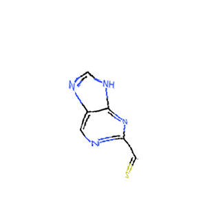 S=[C]c1ncc2nc[nH]c2n1